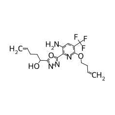 C=CCCOc1nc(-c2nnc(C(O)CCC=C)o2)c(N)cc1C(F)(F)F